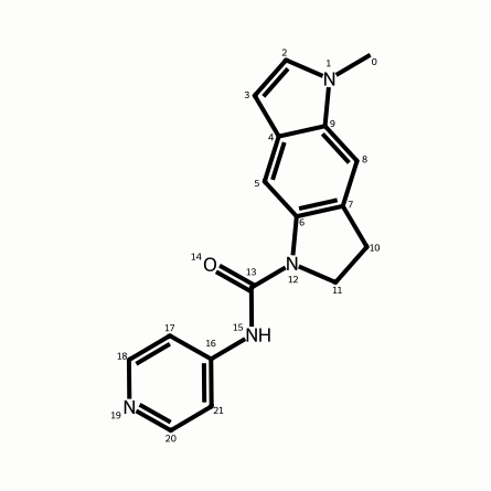 Cn1ccc2cc3c(cc21)CCN3C(=O)Nc1ccncc1